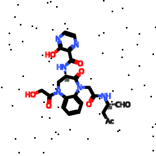 CC(=O)C[C@@H](C=O)NC(=O)CN1C(=O)[C@@H](NC(=O)c2nccnc2O)CN(C(=O)CO)c2ccccc21